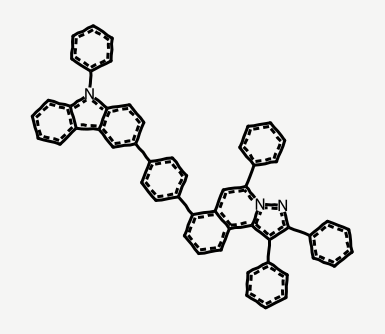 c1ccc(-c2nn3c(-c4ccccc4)cc4c(-c5ccc(-c6ccc7c(c6)c6ccccc6n7-c6ccccc6)cc5)cccc4c3c2-c2ccccc2)cc1